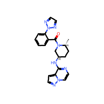 C[C@@H]1CC[C@@H](Nc2nccn3nccc23)CN1C(=O)c1ccccc1-n1nccn1